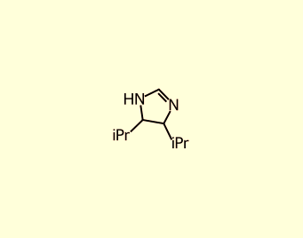 CC(C)C1N=CNC1C(C)C